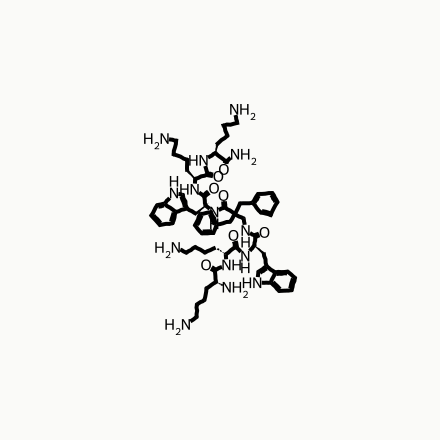 NCCCC[C@@H](N)C(=O)N[C@H](CCCCN)C(=O)N[C@H](Cc1c[nH]c2ccccc12)C(=O)NCC(Cc1ccccc1)(Cc1ccccc1)C(=O)N[C@@H](Cc1c[nH]c2ccccc12)C(=O)N[C@@H](CCCCN)C(=O)N[C@@H](CCCCN)C(N)=O